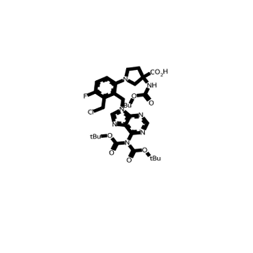 CC(C)(C)OC(=O)NC1(C(=O)O)CCN(c2ccc(F)c(CCl)c2Cn2cnc3c(N(C(=O)OC(C)(C)C)C(=O)OC(C)(C)C)ncnc32)C1